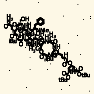 CC[C@@H](C)[C@@H](NC(=O)[C@@H](CCC(N)=O)NC(=O)[C@H](CO)NC(=O)[C@@H](NC(=O)[C@@H](Cc1ccccc1)NC)[C@@H](C)CC)C(=O)N[C@H](C(=O)N[C@@H](CO)C(=O)N[C@H]1C(=O)N[C@@H](C)C(=O)N[C@@H](CCCCNC(=O)OC(CNC(=O)OC(C)(C)C)CNC(=O)OC(C)(C)C)C(=O)N[C@@H]([C@@H](C)CC)C(=O)O[C@H]1C)[C@@H](C)CC